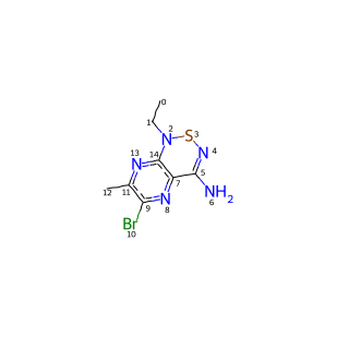 CCN1SN=C(N)c2nc(Br)c(C)nc21